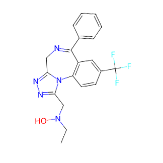 CCN(O)Cc1nnc2n1-c1ccc(C(F)(F)F)cc1C(c1ccccc1)=NC2